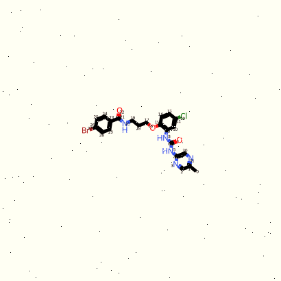 Cc1cnc(NC(=O)Nc2cc(Cl)ccc2OCCCNC(=O)c2ccc(Br)cc2)cn1